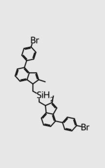 CC1=Cc2c(-c3ccc(Br)cc3)cccc2C1C[SiH2]CC1C(C)=Cc2c(-c3ccc(Br)cc3)cccc21